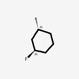 C[C@@H]1CCC[C@@H](F)C1